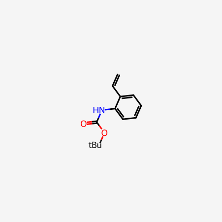 C=Cc1ccccc1NC(=O)OC(C)(C)C